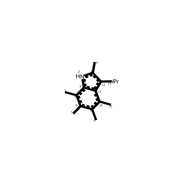 Cc1[nH]c2c(C)c(C)c(C)c(C)c2c1C(C)C